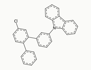 Clc1ccc(-c2ccccc2)c(-c2cccc(-n3c4ccccc4c4ccccc43)c2)c1